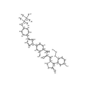 CCCc1ccc(C)cc1N1C(=O)CSC1=NC(=O)Nc1ccc(-c2ncn(-c3ccc(OC(F)(F)C(F)(F)F)cc3)n2)cc1F